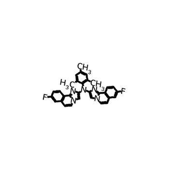 Cc1cc(C)c(N(c2cn3ccc4cc(F)ccc4c3n2)c2cn3ccc4cc(F)ccc4c3n2)c(C)c1